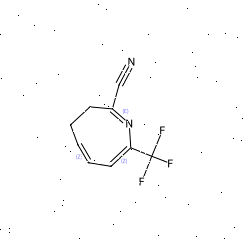 N#C/C1=N/C(C(F)(F)F)=C\C=C/CC1